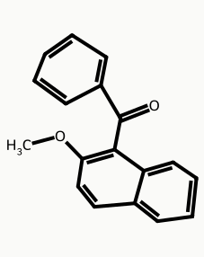 COc1ccc2ccccc2c1C(=O)c1ccccc1